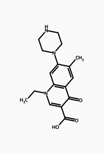 CCn1cc(C(=O)O)c(=O)c2cc(C)c(N3CCNCC3)cc21